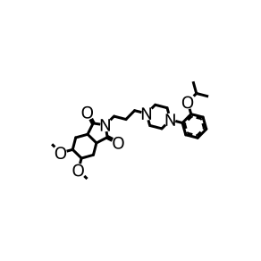 COC1CC2C(=O)N(CCCN3CCN(c4ccccc4OC(C)C)CC3)C(=O)C2CC1OC